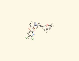 CCC(Oc1cnc(Cl)c(Cl)c1)C(=O)NC(C)(C)C#CC(O[SiH](C)C)C(C)(C)C